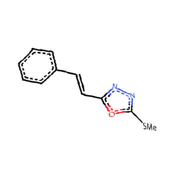 CSc1nnc(/C=C/c2ccccc2)o1